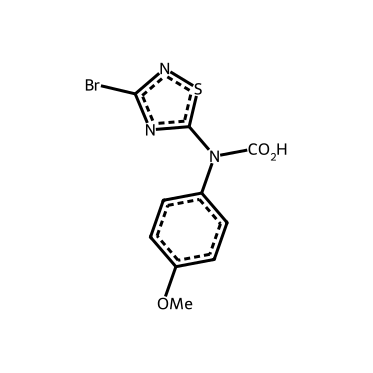 COc1ccc(N(C(=O)O)c2nc(Br)ns2)cc1